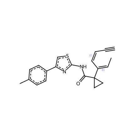 C#C/C=C\C(=C/C)C1(C(=O)Nc2nc(-c3ccc(C)cc3)cs2)CC1